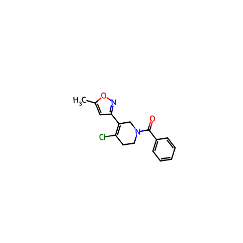 Cc1cc(C2=C(Cl)CCN(C(=O)c3ccccc3)C2)no1